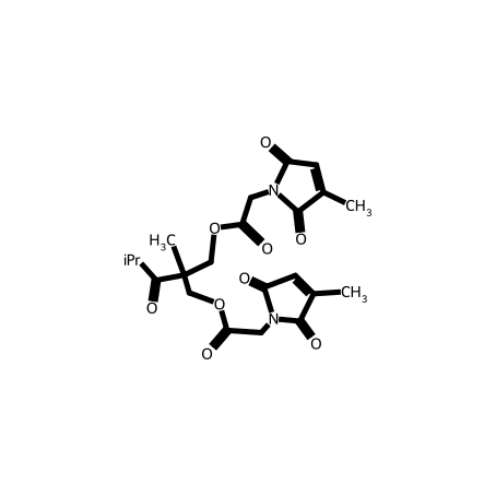 CC1=CC(=O)N(CC(=O)OCC(C)(COC(=O)CN2C(=O)C=C(C)C2=O)C(=O)C(C)C)C1=O